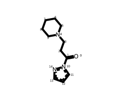 O=C(CCN1CCCCC1)n1cccn1